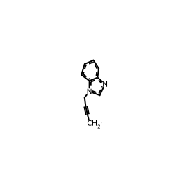 [CH2]C#CCn1cnc2ccccc21